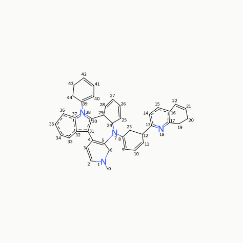 CN1C=CC2=C(C1)N(C1=CC=CC(c3ccc4c(n3)CCC=C4)C1)C1C=CC=CC1c1c2c2ccccc2n1C1=CC=CCC1